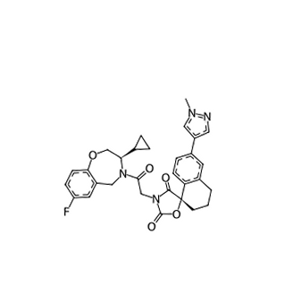 Cn1cc(-c2ccc3c(c2)CCC[C@]32OC(=O)N(CC(=O)N3Cc4cc(F)ccc4OC[C@H]3C3CC3)C2=O)cn1